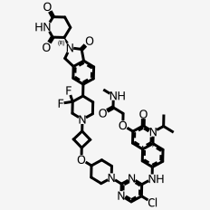 CNC(=O)COc1cc2cc(Nc3nc(N4CCC(OC5CC(N6CCC(c7ccc8c(c7)CN([C@@H]7CCC(=O)NC7=O)C8=O)C(F)(F)C6)C5)CC4)ncc3Cl)ccc2n(C(C)C)c1=O